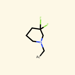 CC(=O)CN1CCCC(F)(F)C1